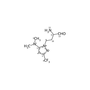 CN(C)c1cc(C(F)(F)F)nn1CCC(N)C=O